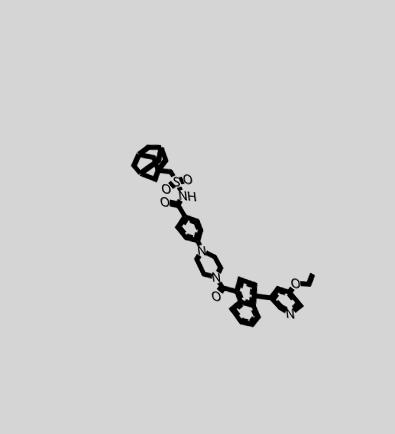 CCOc1cncc(-c2ccc(C(=O)N3CCN(c4ccc(C(=O)NS(=O)(=O)CC56CC7CC(CC(C7)C5)C6)cc4)CC3)c3ccccc23)c1